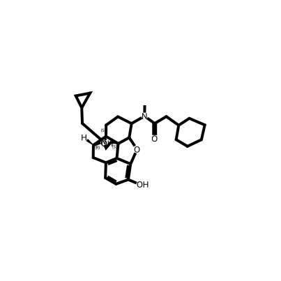 CN(C(=O)CC1CCCCC1)C1CC[C@@]2(O)[C@H]3Cc4ccc(O)c5c4[C@@]2(CCN3CC2CC2)C1O5